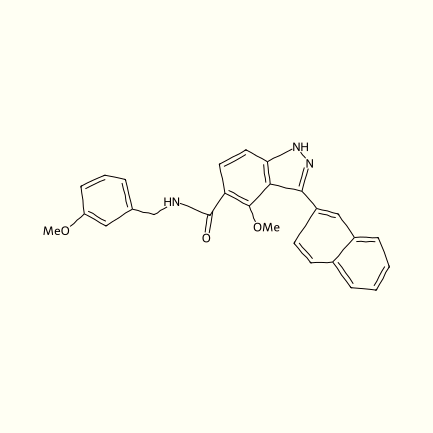 COc1cccc(CNC(=O)c2ccc3[nH]nc(-c4ccc5ccccc5c4)c3c2OC)c1